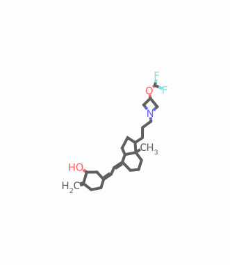 C=C1CC/C(=C/C=C2\CCCC3(C)C(CCCN4CC(OC(F)F)C4)CCC23)CC1O